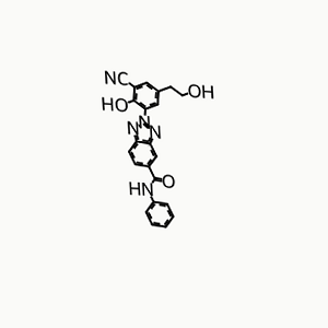 N#Cc1cc(CCO)cc(-n2nc3ccc(C(=O)Nc4ccccc4)cc3n2)c1O